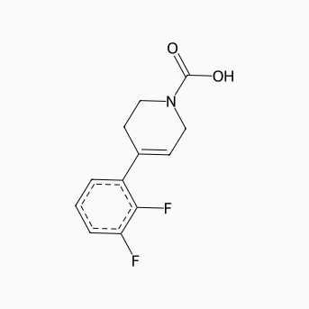 O=C(O)N1CC=C(c2cccc(F)c2F)CC1